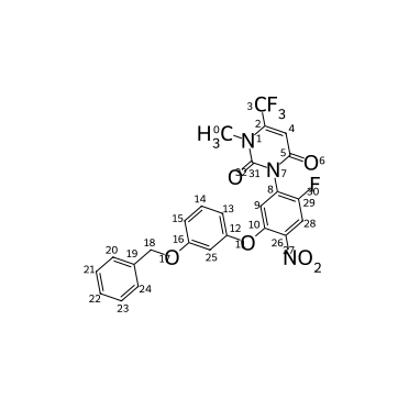 Cn1c(C(F)(F)F)cc(=O)n(-c2cc(Oc3cccc(OCc4ccccc4)c3)c([N+](=O)[O-])cc2F)c1=O